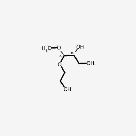 CO[C@@H](OCCO)[C@H](O)CO